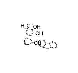 CCO.Oc1ccccc1.Oc1ccccc1.c1ccc2c(c1)Cc1ccccc1-2